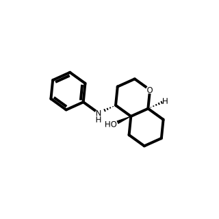 O[C@]12CCCC[C@@H]1OCC[C@H]2Nc1ccccc1